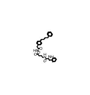 N[C@@H](Cc1ccccc1)C(=O)NCCCC(=O)ONC(=O)Cc1ccc(CCCCc2ccccc2)cc1